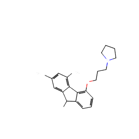 COc1cc(OC)c2c(c1)C(C=O)c1cccc(OCCCN3CCCC3)c1-2